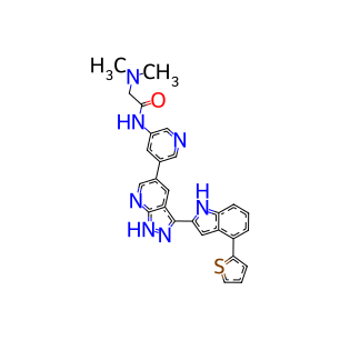 CN(C)CC(=O)Nc1cncc(-c2cnc3[nH]nc(-c4cc5c(-c6cccs6)cccc5[nH]4)c3c2)c1